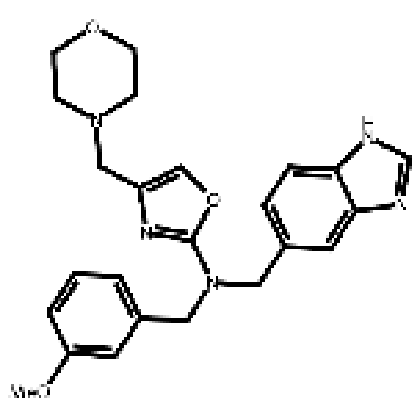 COc1cccc(CN(Cc2ccc3[nH]cnc3c2)c2nc(CN3CCOCC3)co2)c1